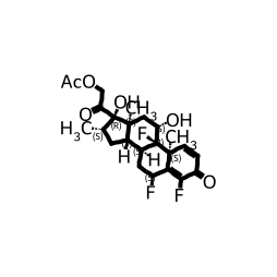 CC(=O)OCC(=O)[C@@]1(O)[C@@H](C)C[C@H]2[C@@H]3C[C@H](F)C4=C(F)C(=O)C=C[C@]4(C)[C@@]3(F)[C@@H](O)C[C@@]21C